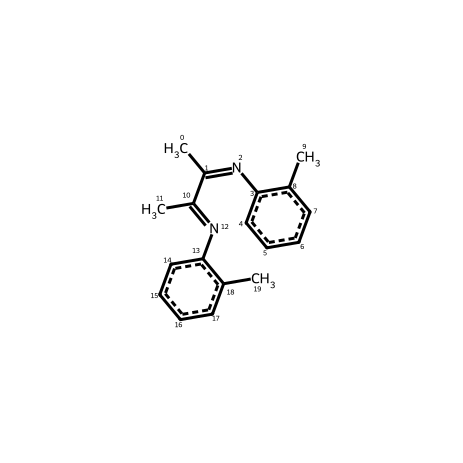 CC(=Nc1ccccc1C)C(C)=Nc1ccccc1C